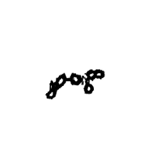 Cn1c2ccccc2c2cc(-c3ccc(N(c4ccccc4)c4ccc5ccccc5c4)cc3)ccc21